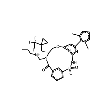 CCCNCN1C(=O)c2cccc(c2)S(=O)(=O)Nc2nc(cc(-c3c(C)cccc3C)n2)OC[C@H]1CC1(C(F)(F)F)CC1